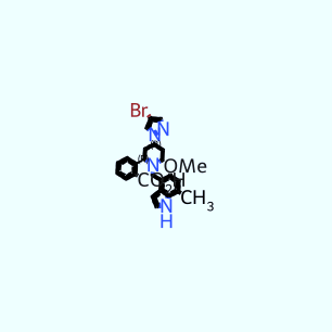 COc1cc(C)c2[nH]ccc2c1CN1CC[C@@H](n2cc(Br)cn2)C[C@@H]1c1ccccc1C(=O)O